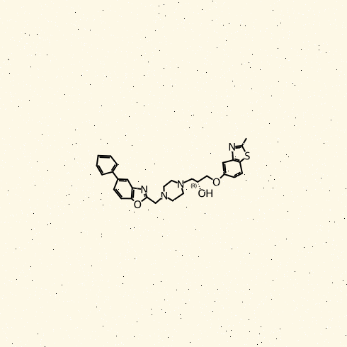 Cc1nc2cc(OC[C@H](O)CN3CCN(Cc4nc5cc(-c6ccccc6)ccc5o4)CC3)ccc2s1